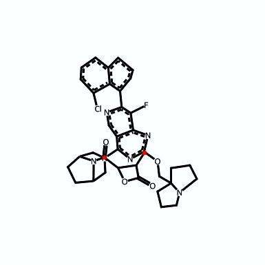 CC1C(=O)OC1C(=O)N1C2CCC1CN(c1nc(OCC34CCCN3CCC4)nc3c(F)c(-c4cccc5cccc(Cl)c45)ncc13)C2